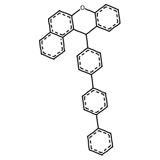 c1ccc(-c2ccc(-c3ccc(C4c5ccccc5Oc5ccc6ccccc6c54)cc3)cc2)cc1